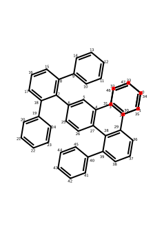 c1ccc(-c2cc(-c3c(-c4ccccc4)cccc3-c3ccccc3)ccc2-c2c(-c3ccccc3)cccc2-c2ccccc2)cc1